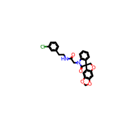 O=C(CN1C(=O)C2(COc3cc4c(cc32)OCO4)c2ccccc21)NCCc1cccc(Cl)c1